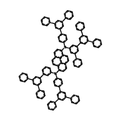 c1ccc(-c2cc(-c3ccccc3)cc(-c3ccc(N(c4cccc(-c5cc(-c6ccccc6)cc(-c6ccccc6)c5)c4)c4ccc5ccc6c(N(c7ccc(-c8cc(-c9ccccc9)cc(-c9ccccc9)c8)cc7)c7cc(-c8ccccc8)cc(-c8cc(-c9ccccc9)cc(-c9ccccc9)c8)c7)ccc7ccc4c5c76)cc3)c2)cc1